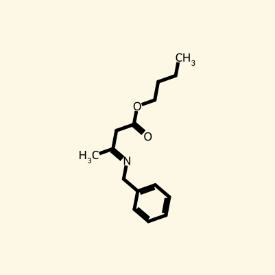 CCCCOC(=O)C/C(C)=N/Cc1ccccc1